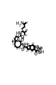 C=C(N)CC[C@H](NC(=O)[C@@H]1CC[C@@H]2CCCC[C@H](NC(=O)c3cc4cc(C(=O)P(=O)(O)O)ccc4s3)C(=O)N21)C(C)C